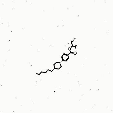 CCCCCC[C@H]1CC[C@H](c2ccc(C(=O)OC(F)CF)cc2)CC1